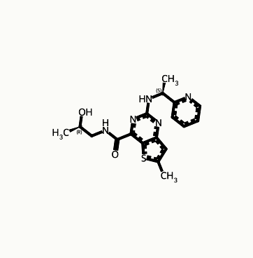 Cc1cc2nc(N[C@@H](C)c3ccccn3)nc(C(=O)NC[C@@H](C)O)c2s1